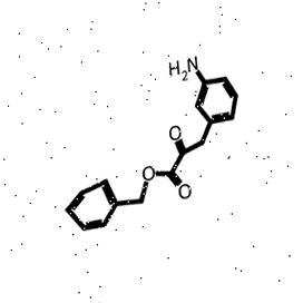 Nc1cccc(CC(=O)C(=O)OCc2ccccc2)c1